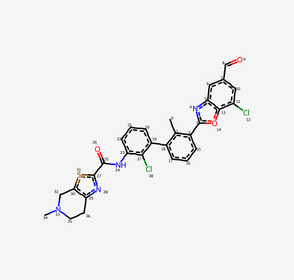 Cc1c(-c2nc3cc(C=O)cc(Cl)c3o2)cccc1-c1cccc(NC(=O)c2nc3c(s2)CN(C)CC3)c1Cl